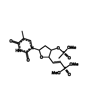 COP(C)(=O)OC1CC(n2cc(C)c(=O)[nH]c2=O)OC1/C=C/P(=O)(OC)OC